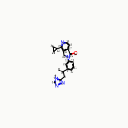 C[C@H](Cc1nncn1C)c1cccc(N2Cc3c(ccnc3C3CC3)C2=O)c1